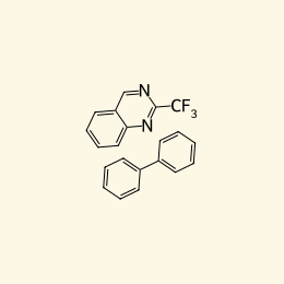 FC(F)(F)c1ncc2ccccc2n1.c1ccc(-c2ccccc2)cc1